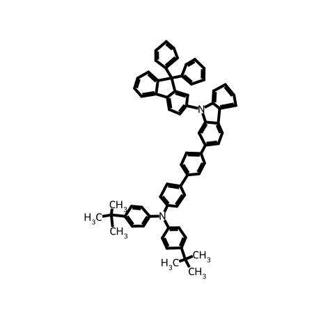 CC(C)(C)c1ccc(N(c2ccc(-c3ccc(-c4ccc5c6ccccc6n(-c6ccc7c(c6)C(c6ccccc6)(c6ccccc6)c6ccccc6-7)c5c4)cc3)cc2)c2ccc(C(C)(C)C)cc2)cc1